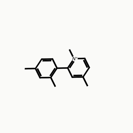 Cc1ccc(-c2cc(C)cc[n+]2C)c(C)c1